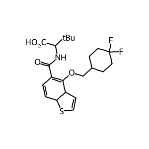 CC(C)(C)C(NC(=O)C1=C(OCC2CCC(F)(F)CC2)C2C=CSC2C=C1)C(=O)O